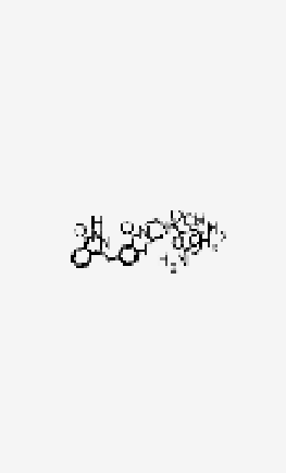 CC(C)(C)C(OC(N)=O)C(=O)N1CCN(C(=O)c2cc(Cc3n[nH]c(=O)c4ccccc34)ccc2F)CC1